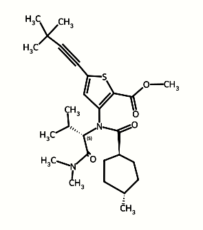 COC(=O)c1sc(C#CC(C)(C)C)cc1N(C(=O)[C@H]1CC[C@H](C)CC1)[C@H](C(=O)N(C)C)C(C)C